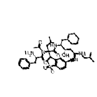 CC(=O)N(C(=O)[C@@H](N)Cc1ccccc1)[C@](CC(C)C)(C(=O)N[C@@H](CC1CCCCC1)[C@@H](O)CC(=O)NCC(C)C)C1CS(=O)(=O)c2ccc(C#N)cc21